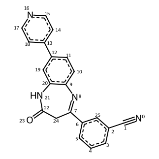 N#Cc1cccc(C2=Nc3ccc(-c4ccncc4)cc3NC(=O)C2)c1